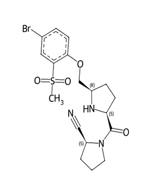 CS(=O)(=O)c1cc(Br)ccc1OC[C@H]1CC[C@@H](C(=O)N2CCC[C@H]2C#N)N1